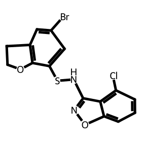 Clc1cccc2onc(NSc3cc(Br)cc4c3OCC4)c12